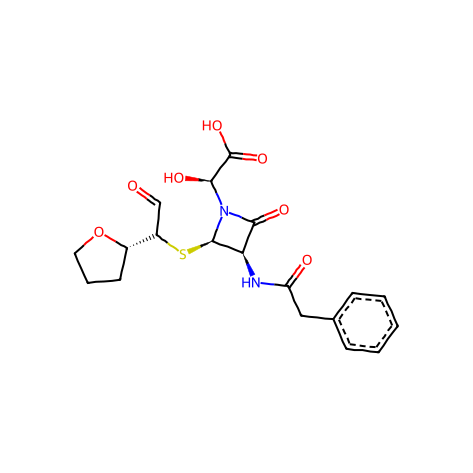 O=CC(S[C@@H]1[C@H](NC(=O)Cc2ccccc2)C(=O)N1[C@@H](O)C(=O)O)[C@@H]1CCCO1